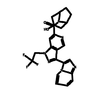 O=C(c1cc2c(cn1)c(-c1cnc3ccccn13)nn2CC(F)(F)F)N1C2CCC1CC(O)C2